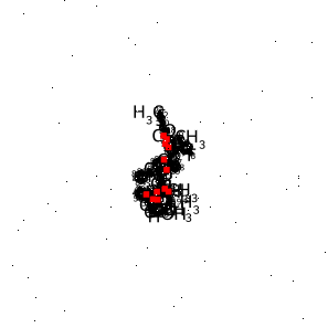 COc1ccc(F)cc1/C(=N/[C@H](CCCCCC(=O)CCSSC)C(=O)N1CCCC1C(=O)O[C@@H](C(=O)O[C@H]1C[C@]2(O)[C@@H](OC(=O)c3ccccc3)[C@@H]3[C@]4(OC(C)=O)CO[C@@H]4C[C@H](O)[C@@]3(C)C(=O)[C@H](C)C(=C1C)C2(C)C)[C@@H](NC(=O)c1ccccc1)c1ccccc1)c1ccc(Cl)cc1